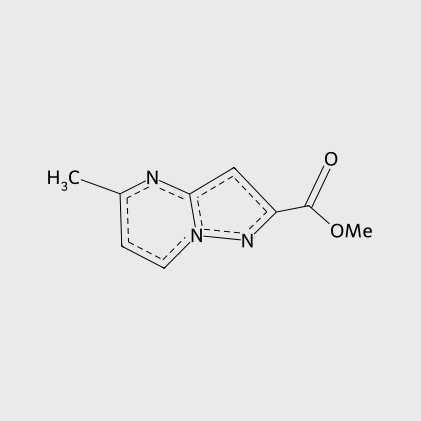 COC(=O)c1cc2nc(C)ccn2n1